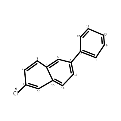 Clc1ccc2cc(-c3cc[c]cc3)ccc2c1